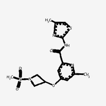 Cc1cc(OC2CN(S(C)(=O)=O)C2)cc(C(=O)Nc2nc(C)cs2)n1